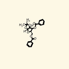 CC1(C)O[C@H]2O[C@H](COC(=O)c3ccccc3)C(OC(=O)c3ccccc3)[C@H]2O1